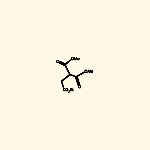 CCOC(=O)CC(C(=O)OC)C(=O)OC